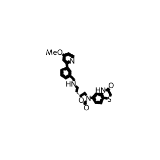 COc1ccnc(-c2cccc(CNCC[C@@H]3CN(c4ccc5c(c4)NC(=O)CS5)C(=O)O3)c2)c1